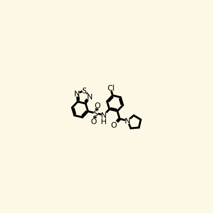 O=C(c1ccc(Cl)cc1NS(=O)(=O)c1cccc2nsnc12)N1CCCC1